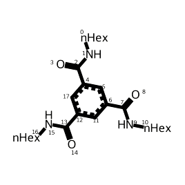 CCCCCCNC(=O)c1cc(C(=O)NCCCCCC)cc(C(=O)NCCCCCC)c1